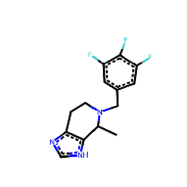 CC1c2[nH]cnc2CCN1Cc1cc(F)c(F)c(F)c1